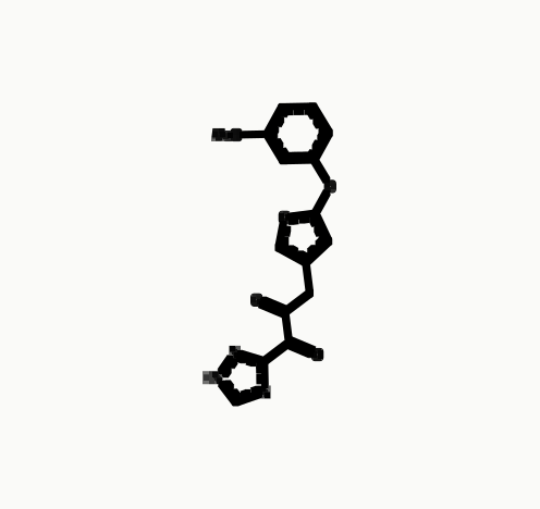 COc1cccc(Oc2cc(CC(=O)C(=O)c3nc[nH]n3)co2)c1